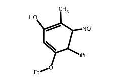 CCOC1=CC(O)=C(C)C(N=O)C1C(C)C